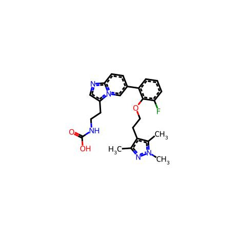 Cc1nn(C)c(C)c1CCOc1c(F)cccc1-c1ccc2ncc(CCNC(=O)O)n2c1